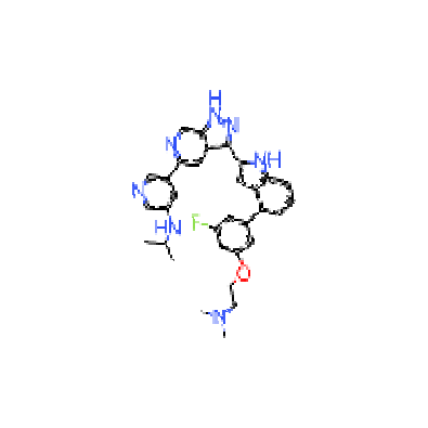 CC(C)Nc1cncc(-c2cc3c(-c4cc5c(-c6cc(F)cc(OCCN(C)C)c6)cccc5[nH]4)n[nH]c3cn2)c1